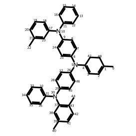 CC1=CC=C(N(c2ccc(N(c3ccccc3)c3cccc(C)c3)cc2)c2ccc(N(c3ccccc3)c3cc(C)ccc3C)cc2)CC1